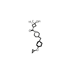 C[C@]1(O)C[C@@H](C(=O)N2CCC(Cc3ccc(OC4CC4)cc3)CC2)C1